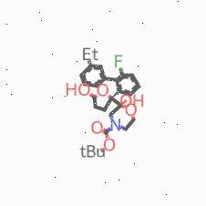 CCc1cccc(-c2c(F)cccc2[C@@]2([C@@]3(O)CN(C(=O)OC(C)(C)C)CCO3)CCC(O)O2)c1